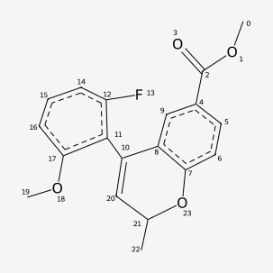 COC(=O)c1ccc2c(c1)C(c1c(F)cccc1OC)=CC(C)O2